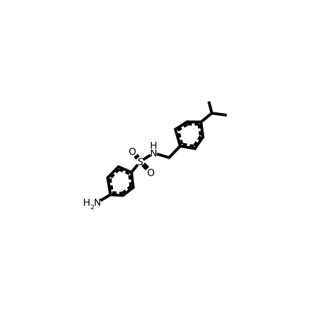 CC(C)c1ccc(CNS(=O)(=O)c2ccc(N)cc2)cc1